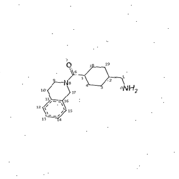 NCC1CCC(C(=O)N2CCc3ccccc3C2)CC1